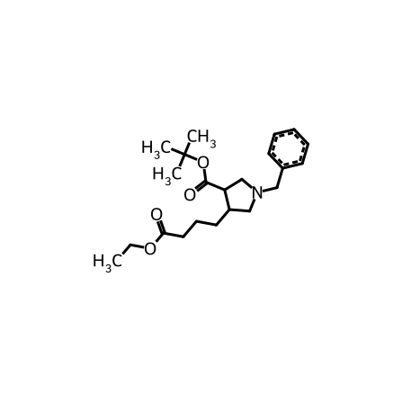 CCOC(=O)CCCC1CN(Cc2ccccc2)CC1C(=O)OC(C)(C)C